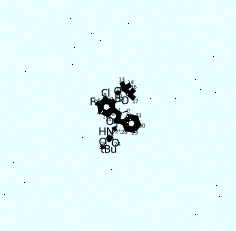 C[C@H]1c2c(cc(F)c(Cl)c2B2OC(C)(C)C(C)(C)O2)O[C@]1(CNC(=O)OC(C)(C)C)c1ccccc1